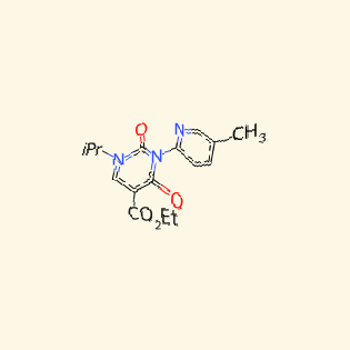 CCOC(=O)c1cn(C(C)C)c(=O)n(-c2ccc(C)cn2)c1=O